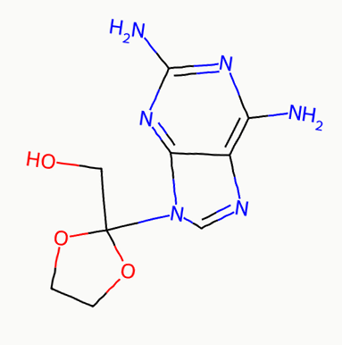 Nc1nc(N)c2ncn(C3(CO)OCCO3)c2n1